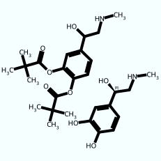 CNCC(O)c1ccc(OC(=O)C(C)(C)C)c(OC(=O)C(C)(C)C)c1.CNC[C@H](O)c1ccc(O)c(O)c1